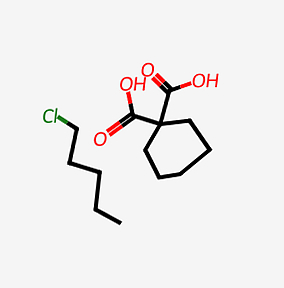 CCCCCCl.O=C(O)C1(C(=O)O)CCCCC1